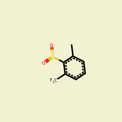 Cc1cccc(C(F)(F)F)c1[SH](=O)=O